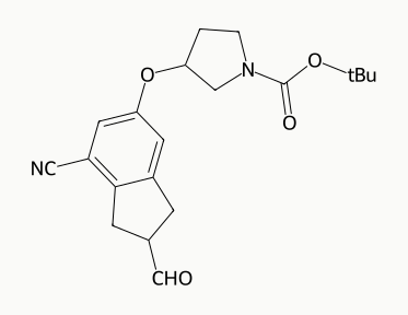 CC(C)(C)OC(=O)N1CCC(Oc2cc(C#N)c3c(c2)CC(C=O)C3)C1